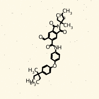 CCCC(C)(CC)N1C(=O)c2cc(C=O)c(C(=O)Nc3ccc(Oc4ccc(C(C)(CC)CC)cc4)cc3)cc2C1=O